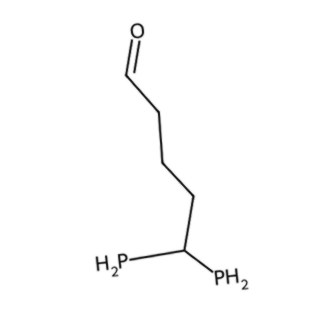 O=CCCCC(P)P